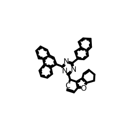 C1=Cc2c(oc3c2C(c2nc(-c4ccc5ccccc5c4)nc(-c4cc5ccccc5c5ccccc45)n2)CC=C3)CC1